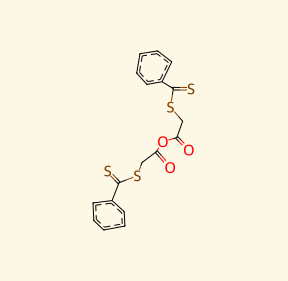 O=C(CSC(=S)c1ccccc1)OC(=O)CSC(=S)c1ccccc1